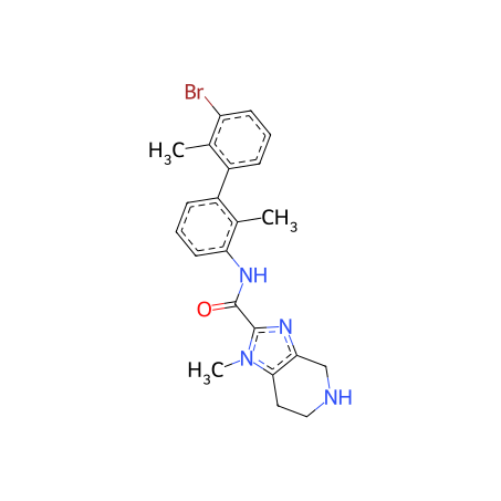 Cc1c(Br)cccc1-c1cccc(NC(=O)c2nc3c(n2C)CCNC3)c1C